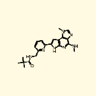 CNc1nc2[nH]c(-c3cccc(CNC(=O)C(C)(C)C)n3)cc2c2c1ncn2C